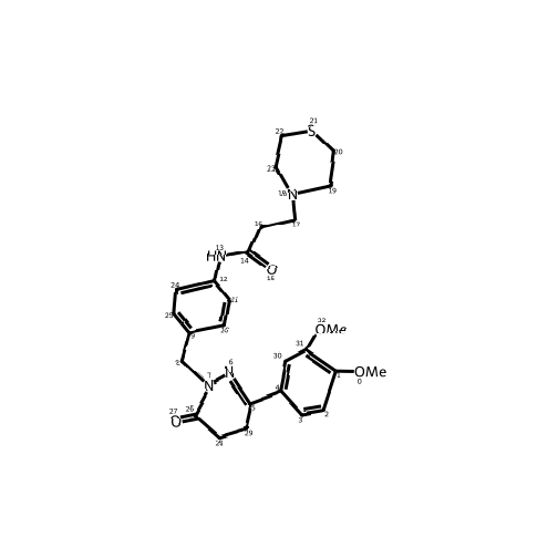 COc1ccc(C2=NN(Cc3ccc(NC(=O)CCN4CCSCC4)cc3)C(=O)CC2)cc1OC